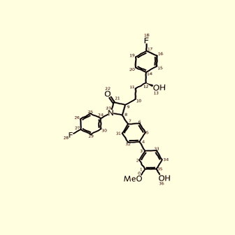 COc1cc(-c2ccc(C3C(CC[C@H](O)c4ccc(F)cc4)C(=O)N3c3ccc(F)cc3)cc2)ccc1O